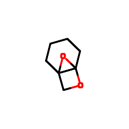 C1CCC23OCC2(C1)O3